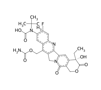 CC[C@@]1(O)C(=O)OCc2c1cc1n(c2=O)Cc2c-1nc1cc(F)c(N(C(=O)O)C(C)(C)C)cc1c2COC(N)=O